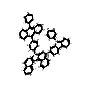 c1ccc(-c2c3ccccc3c(-c3ccc(-n4c5ccc6ccccc6c5c5c6ccccc6c(-c6ccc7c8ccccc8n(-c8ccccc8)c7c6)cc54)cc3)c3ccccc23)cc1